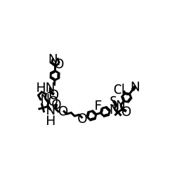 CC(C)(C)C(NC(=O)COCCCCOc1ccc(-c2ccc(N3C(=S)N(c4ccc(C#N)c(Cl)c4)C(=O)C3(C)C)cc2F)cc1)C(=O)N1CCC[C@H]1C(=O)NCc1ccc(-c2cnco2)cc1